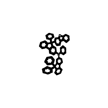 c1ccc(N(c2ccc3c(c2)C(c2ccccc2)(c2ccccc2)c2ccccc2-3)c2ccc3c(c2)C(c2ccccc2)(c2ccc4c(c2)oc2ccccc24)c2ccccc2-3)cc1